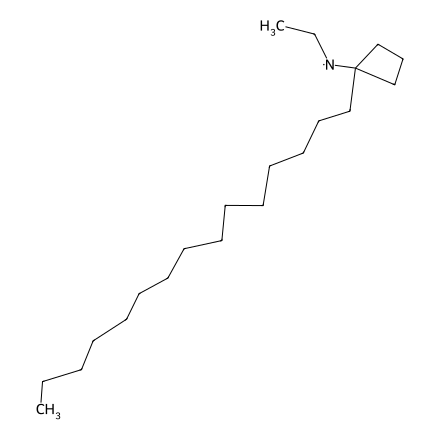 CCCCCCCCCCCCCCCC1([N]CC)CCC1